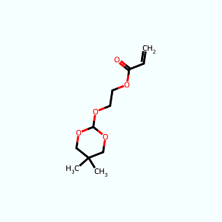 C=CC(=O)OCCOC1OCC(C)(C)CO1